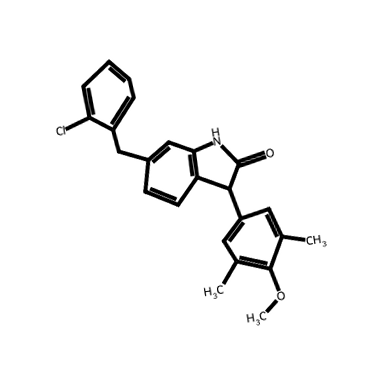 COc1c(C)cc(C2C(=O)Nc3cc(Cc4ccccc4Cl)ccc32)cc1C